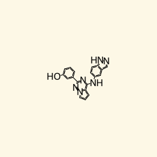 Oc1cccc(-c2nc(Nc3ccc4[nH]ncc4c3)c3cccn3n2)c1